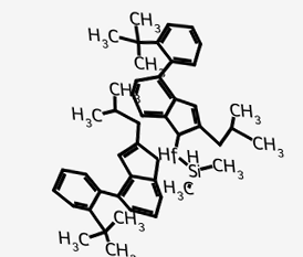 CC(C)CC1=Cc2c(-c3ccccc3C(C)(C)C)cccc2[CH]1[Hf]([CH]1C(CC(C)C)=Cc2c(-c3ccccc3C(C)(C)C)cccc21)[SiH](C)C